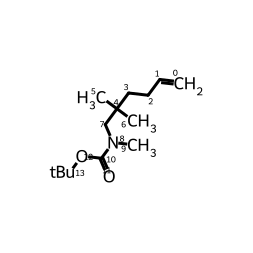 C=CCCC(C)(C)CN(C)C(=O)OC(C)(C)C